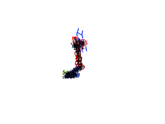 O=C1CCC(N2C(=O)c3cccc(NCCOCCOCCOCCC(=O)N4CCN(c5cccc(-c6cnc7ccc(N8CCC[C@@H]8c8cccc(F)c8)nn67)n5)CC4)c3C2=O)C(=O)N1